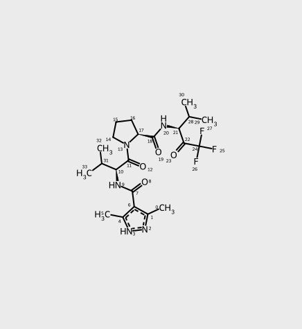 Cc1n[nH]c(C)c1C(=O)N[C@H](C(=O)N1CCC[C@H]1C(=O)N[C@H](C(=O)C(F)(F)F)C(C)C)C(C)C